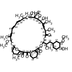 CO[C@H]1C[C@@H]2CC[C@@H](C)[C@@](O)(O2)C(=O)C(=O)N2CCCC[C@H]2C(=O)O[C@H]([C@H](C)CC2CC[C@@H](O)[C@H](OC)C2)CC(=O)[C@H](C)/C=C(\C)[C@@H](O)[C@H](OC)C(=O)[C@H](C)C[C@H](C)/C=C/C=C/C=C/1C